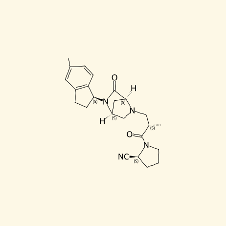 Cc1ccc2c(c1)CC[C@@H]2N1C(=O)[C@@H]2C[C@H]1CN2C[C@H](C)C(=O)N1CCC[C@H]1C#N